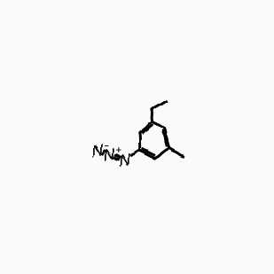 CCc1cc(C)cc(N=[N+]=[N-])c1